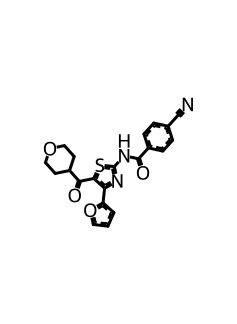 N#Cc1ccc(C(=O)Nc2nc(-c3ccco3)c(C(=O)C3CCOCC3)s2)cc1